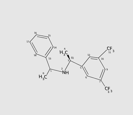 CC(N[C@@H](C)c1cc(C(F)(F)F)cc(C(F)(F)F)c1)c1ccccc1